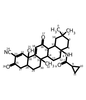 CC1(C)CCC2(NC(=O)C3CC3)CCC3C(C(=O)C=C4C5(C)C=C(C#N)C(=O)CC5CCC43C)C2C1